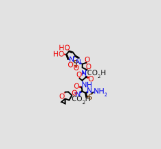 Nc1nc(/C(=N/OC2(C(=O)O)CCOC3(CC3)C2)C(=O)N[C@H]2CON(C3(C(=O)O)CC(N4C=C5C=C(O)C(O)=CN5S4(=O)=O)C(=O)O3)C2=O)cs1